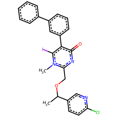 CC(OCc1nc(=O)c(-c2cccc(-c3ccccc3)c2)c(I)n1C)c1ccc(Cl)nc1